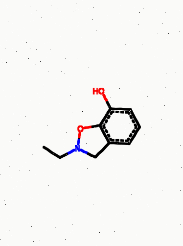 CCN1Cc2cccc(O)c2O1